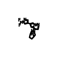 FC(F)n1cc(-c2cc3c(N4CC5CCC(C4)N5)ccnn3c2)cn1